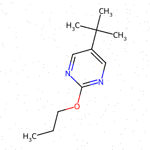 CCCOc1ncc(C(C)(C)C)cn1